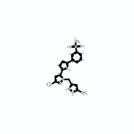 Cc1cc(Cn2nc(C(F)(F)F)cc2-c2ccc(-c3cccc(S(C)(=O)=O)c3)s2)no1